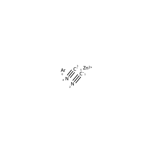 [Ar].[C-]#N.[C-]#N.[Zn+2]